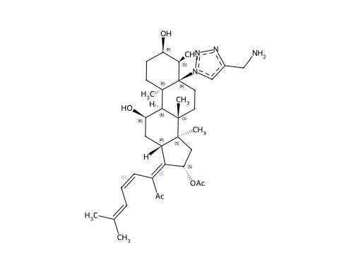 CC(=O)O[C@H]1C[C@@]2(C)[C@@H](C[C@@H](O)[C@@H]3[C@]2(C)CC[C@@]2(n4cc(CN)nn4)[C@H](C)[C@H](O)CC[C@]32C)/C1=C(\C=C/C=C(C)C)C(C)=O